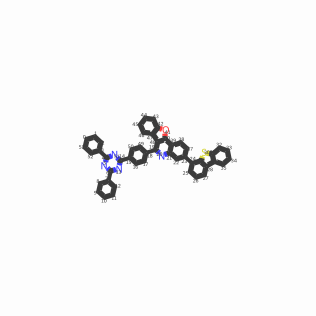 c1ccc(-c2nc(-c3ccccc3)nc(-c3ccc(-c4nc5cc(-c6cccc7c6sc6ccccc67)ccc5c5oc6ccccc6c45)cc3)n2)cc1